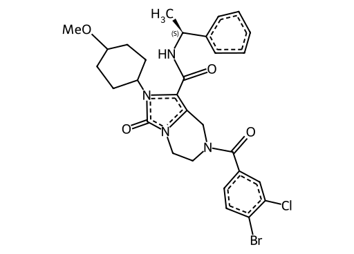 COC1CCC(n2c(C(=O)N[C@@H](C)c3ccccc3)c3n(c2=O)CCN(C(=O)c2ccc(Br)c(Cl)c2)C3)CC1